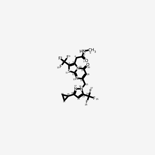 CNC(=O)Cc1c(C(F)(F)F)sc2nc(Cn3nc(C4CC4)cc3C(F)(F)F)cc(=O)n12